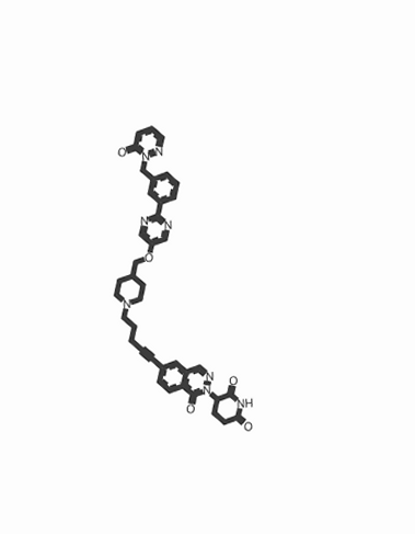 O=C1CCC(n2ncc3cc(C#CCCCN4CCC(COc5cnc(-c6cccc(Cn7ncccc7=O)c6)nc5)CC4)ccc3c2=O)C(=O)N1